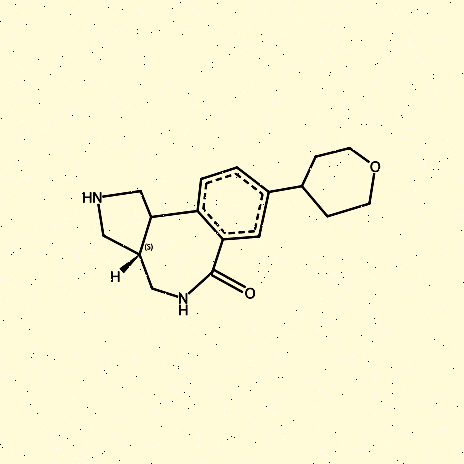 O=C1NC[C@@H]2CNCC2c2ccc(C3CCOCC3)cc21